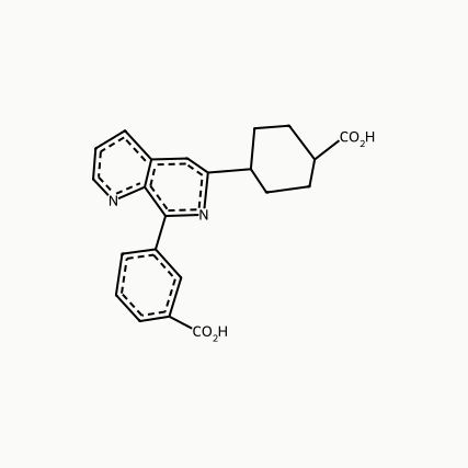 O=C(O)c1cccc(-c2nc(C3CCC(C(=O)O)CC3)cc3cccnc23)c1